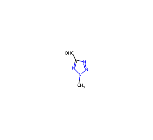 Cn1nnc(C=O)n1